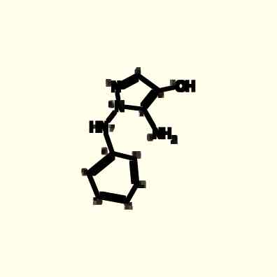 Nc1c(O)cnn1Nc1ccccc1